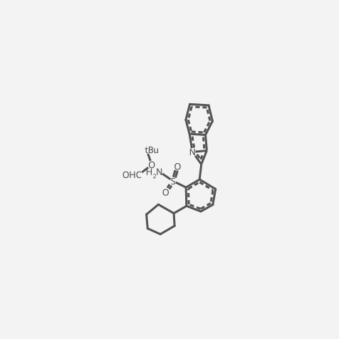 CC(C)(C)OC=O.NS(=O)(=O)c1c(-c2c3c4ccccc4n2-3)cccc1C1CCCCC1